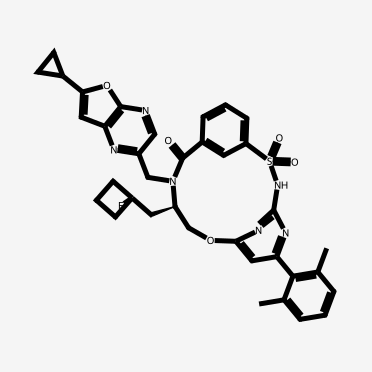 Cc1cccc(C)c1-c1cc2nc(n1)NS(=O)(=O)c1cccc(c1)C(=O)N(Cc1cnc3oc(C4CC4)cc3n1)[C@H](CC1(F)CCC1)CO2